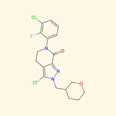 O=C1c2nn(CC3CCCOC3)c(Cl)c2CCN1c1cccc(Cl)c1F